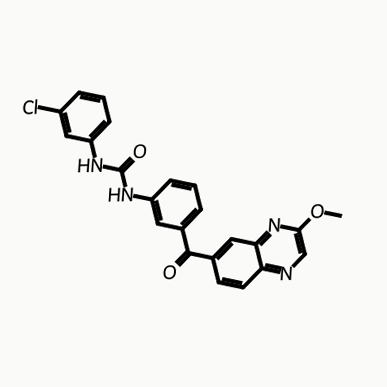 COc1cnc2ccc(C(=O)c3cccc(NC(=O)Nc4cccc(Cl)c4)c3)cc2n1